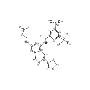 C[C@@H](Nc1nc(NCCN(C)C)nc2cnc(N3CCCC3)cc12)c1cc([N+](=O)[O-])cc(C(F)(F)F)c1